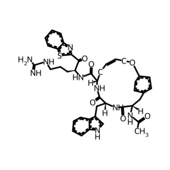 CC(=O)N[C@H]1Cc2ccc(cc2)OC/C=C\C[C@@H](C(=O)N[C@@H](CCCNC(=N)N)C(=O)c2nc3ccccc3s2)NC(=O)[C@@H](Cc2c[nH]c3ccccc23)NC1=O